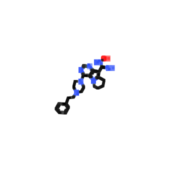 N=C(NO)c1c2n(c3c(N4CCN(CCc5ccccc5)CC4)ncnc13)CCCC2